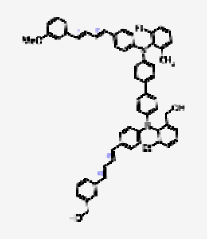 CCc1cccc(C)c1N(c1ccc(/C=C/C=C/c2cccc(OC)c2)cc1)c1ccc(-c2ccc(N(c3ccc(/C=C/C=C/c4cccc(CO)c4)cc3)c3c(CC)cccc3CO)cc2)cc1